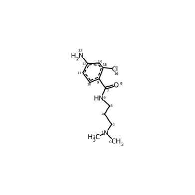 CN(C)CCCNC(=O)c1ccc(N)cc1Cl